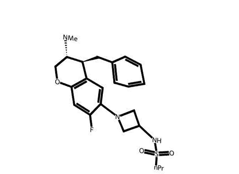 CCCS(=O)(=O)NC1CN(c2cc3c(cc2F)OC[C@H](NC)[C@H]3Cc2ccccc2)C1